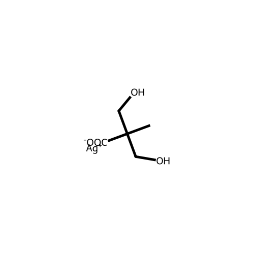 CC(CO)(CO)C(=O)[O-].[Ag+]